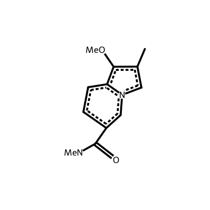 CNC(=O)c1ccc2c(OC)c(C)cn2c1